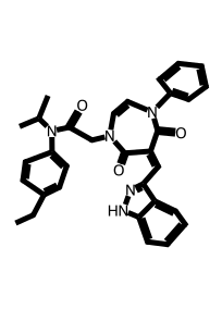 CCc1ccc(N(C(=O)CN2C=CN(c3ccccc3)C(=O)C(=Cc3n[nH]c4ccccc34)C2=O)C(C)C)cc1